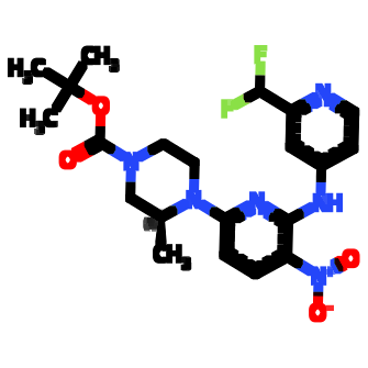 C[C@H]1CN(C(=O)OC(C)(C)C)CCN1c1ccc([N+](=O)[O-])c(Nc2ccnc(C(F)F)c2)n1